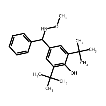 CONC(c1ccccc1)c1cc(C(C)(C)C)c(O)c(C(C)(C)C)c1